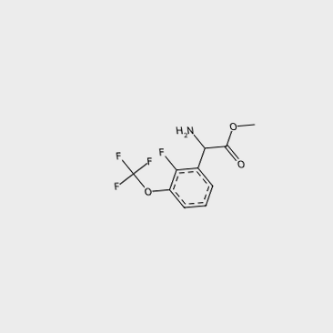 COC(=O)C(N)c1cccc(OC(F)(F)F)c1F